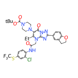 CCc1c(N2CCN(C(=O)OC(C)(C)C)CC2)c(=O)n2nc(-c3ccc4c(c3)CCO4)nc2n1CC(=O)Nc1ccc(SC(F)(F)F)cc1Cl